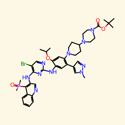 CC(C)Oc1cc(N2CCC(N3CCN(C(=O)OC(C)(C)C)CC3)CC2)c(-c2cnn(C)c2)cc1Nc1ncc(Br)c(Nc2cnc3ccccc3c2P(C)(C)=O)n1